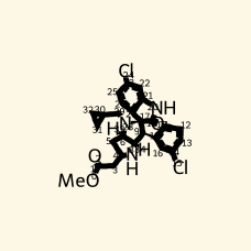 COC(=O)CC1C[C@H]2[C@@H](N1)[C@H](c1cccc(Cl)c1)[C@]1(C(=O)Nc3cc(Cl)ccc31)N2CC1CC1